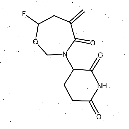 C=C1CC(F)OCN(C2CCC(=O)NC2=O)C1=O